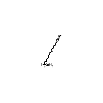 C=C(C)COCCCCCCCCCCCCCCC(F)(F)[SiH3]